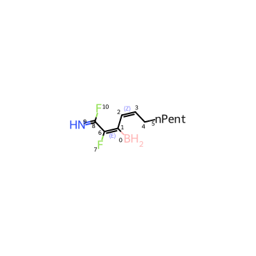 BC(/C=C\CCCCCC)=C(\F)C(=N)F